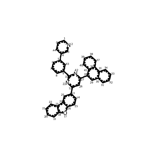 c1cncc(-c2cccc(-c3nc(-c4ccc5oc6ccccc6c5c4)cc(-c4cc5ccccc5c5ccccc45)n3)c2)c1